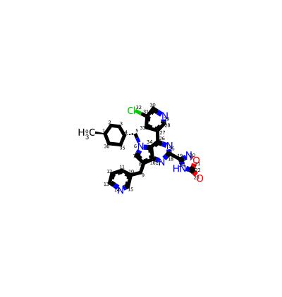 C[C@H]1CC[C@H](Cn2cc(Cc3cccnc3)c3nc(-c4noc(=O)[nH]4)nc(-c4cncc(Cl)c4)c32)CC1